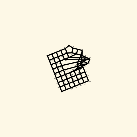 C1C2C3C4C5CC6C7C8C9C%10C%11C%12CC%13C%14C%15C%16C%17CC%18C%19C%20C%21C%22C%23C1C21C32C43C54C6C75C86C97C%108C%119C%13%12C%14%10C%15%11C%16%12C%17%18C%19%13C%20%14C%21%15C%22%16C%231C21C32C45C63C74C85C%109C%116C%12%13C%147C%158C%161C23C48C657